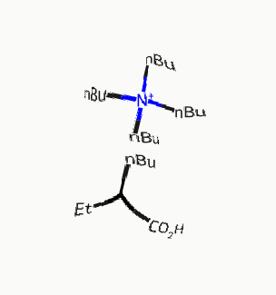 CCCCC(CC)C(=O)O.CCCC[N+](CCCC)(CCCC)CCCC